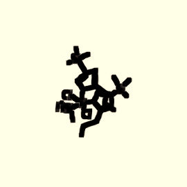 CCCC1=CC([Si](C)(C)C)=C[CH]1[Ti]([Cl])([Cl])([CH]1C=C([Si](C)(C)C)C=C1CCC)[SiH](C)C